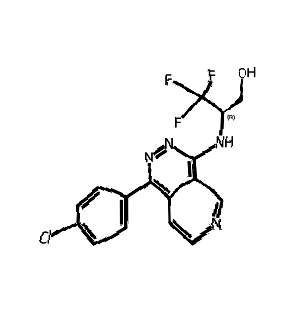 OC[C@@H](Nc1nnc(-c2ccc(Cl)cc2)c2ccncc12)C(F)(F)F